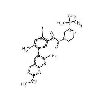 CNc1ncc2cc(-c3cc(NC(=O)N4CCO[C@@H](C(C)(C)C)C4)c(F)cc3C)c(C)nc2n1